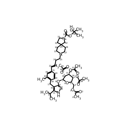 CC(=O)OC[C@H]1O[C@@H](Oc2n[nH]c(C(C)C)c2Cc2ccc(/C=C/CCN3CCC4(CC3)CCN(C(=O)OC(C)(C)C)C4)cc2C)[C@H](OC(C)=O)[C@@H](OC(C)=O)[C@@H]1OC(C)=O